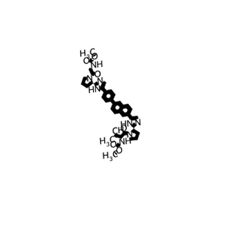 COC(=O)NCC(=O)N1CCC[C@H]1c1ncc(-c2ccc(-c3ccc4cc(-c5cnc([C@@H]6CCCN6C(=O)[C@@H](NC(=O)OC)C(C)C)[nH]5)ccc4c3)cc2)[nH]1